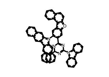 c1ccc(C2N=C(n3c4ccccc4c4ccccc43)N=C(c3cc4oc5ccc6ccccc6c5c4cc3-n3c4cc5ccccc5cc4c4cc5ccccc5cc43)N2)cc1